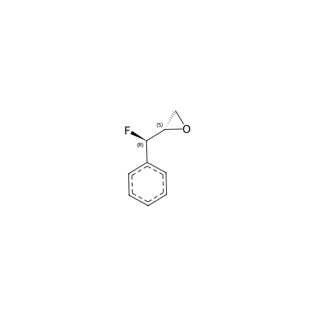 F[C@H](c1ccccc1)[C@@H]1CO1